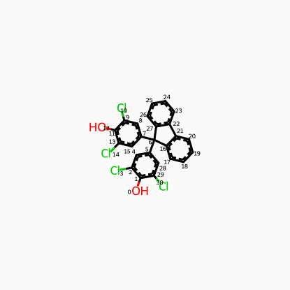 Oc1c(Cl)cc(C2(c3cc(Cl)c(O)c(Cl)c3)c3ccccc3-c3ccccc32)cc1Cl